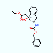 CCOC(=O)C[C@@]1(O)C[C@@H](NC(=O)OCc2ccccc2)Cc2ccccc21